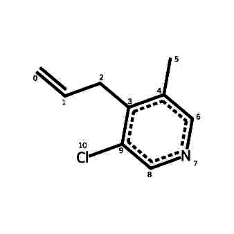 C=CCc1c(C)cncc1Cl